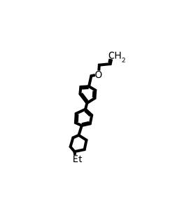 C=CCOCc1ccc(-c2ccc(C3CCC(CC)CC3)cc2)cc1